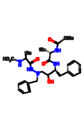 COC(=O)N[C@H](C(=O)N[C@@H](Cc1ccccc1)[C@@H](O)CN(Cc1ccccc1)NC(=O)[C@@H](NC(=O)O)C(C)(C)C)C(C)(C)C